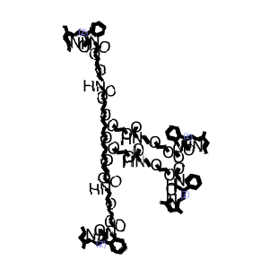 Cc1cc(C)c(/C=C2\C(=O)N(C(=O)OCCOCCNC(=O)OCCOCC(COCC(COCCOC(=O)NCCOCCOC(=O)N3C(=O)/C(=C\c4[nH]c(C)cc4C)c4ccccc43)OCCOC(=O)NCCOCCOC(=O)N3C(=O)/C(=C\c4[nH]c(C)cc4C)c4ccccc43)OCCOC(=O)NCCOCCOC(=O)N3C(=O)/C(=C\c4[nH]c(C)cc4C)c4ccccc43)c3ccccc32)[nH]1